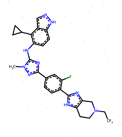 Cn1nc(-c2ccc(-c3nc4c([nH]3)CCN(CC(F)(F)F)C4)c(F)c2)nc1Nc1ccc2[nH]ncc2c1C1CC1